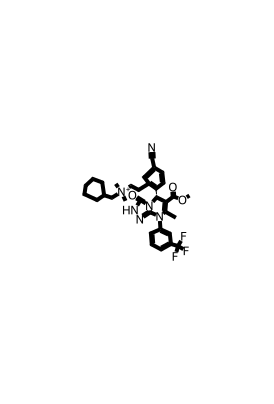 COC(=O)C1=C(C)N(c2cccc(C(F)(F)F)c2)c2n[nH]c(=O)n2[C@@H]1c1ccc(C#N)cc1CC[N+](C)(C)CC1CCCCC1